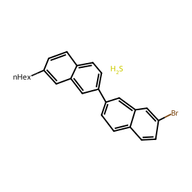 CCCCCCc1ccc2ccc(-c3ccc4ccc(Br)cc4c3)cc2c1.S